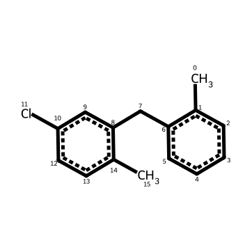 Cc1ccccc1Cc1cc(Cl)ccc1C